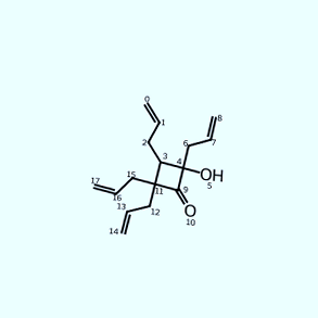 C=CCC1C(O)(CC=C)C(=O)C1(CC=C)CC=C